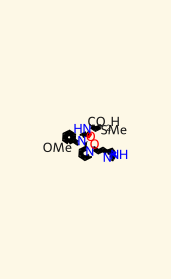 COc1ccccc1CN(CC(=O)NC(CCSC)C(=O)O)C[C@@H]1CCCCN1C(=O)CCc1c[nH]cn1